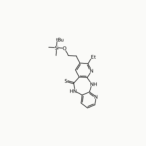 CCc1nc2c(cc1CCO[Si](C)(C)C(C)(C)C)C(=S)Nc1cccnc1N2